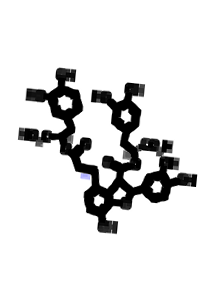 O=C(/C=C/c1ccc(O)c2c1C(C(=O)O[C@H](Cc1ccc(O)c(O)c1)C(=O)O)C(c1ccc(O)c(O)c1)O2)O[C@H](Cc1ccc(O)c(O)c1)C(=O)O